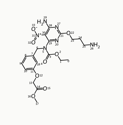 CCOC(=O)N(Cc1cccc(OCC(=O)OC)c1)c1nc(OCCCN)nc(N)c1[N+](=O)[O-]